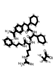 N=C(N)NCCCC(NC(=O)C(NC(=O)C(Cc1ccc(C(=N)N)cc1)C1CCCCC1)C1CCCCC1)C(=O)NCCc1ccccc1.O=C(O)C(F)(F)F